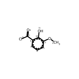 COc1cccc(C(=O)Cl)c1O